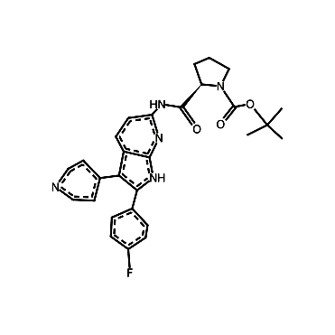 CC(C)(C)OC(=O)N1CCC[C@@H]1C(=O)Nc1ccc2c(-c3ccncc3)c(-c3ccc(F)cc3)[nH]c2n1